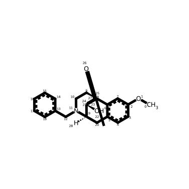 COc1ccc2c(c1)[C@]13CCN(Cc4ccccc4)[C@H](C2)[C@]1(O)CCC(=O)C3